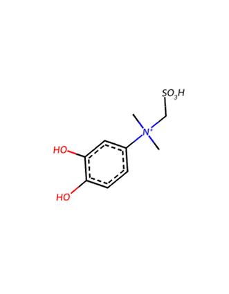 C[N+](C)(CS(=O)(=O)O)c1ccc(O)c(O)c1